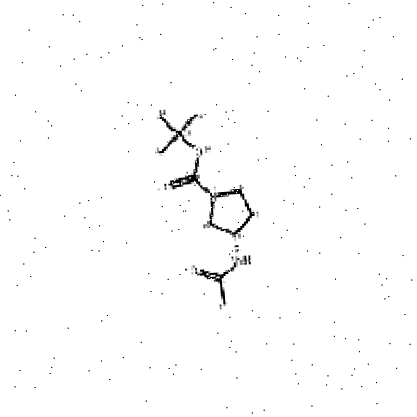 CC(=O)N[C@H]1CCN(C(=O)OC(C)(C)C)C1